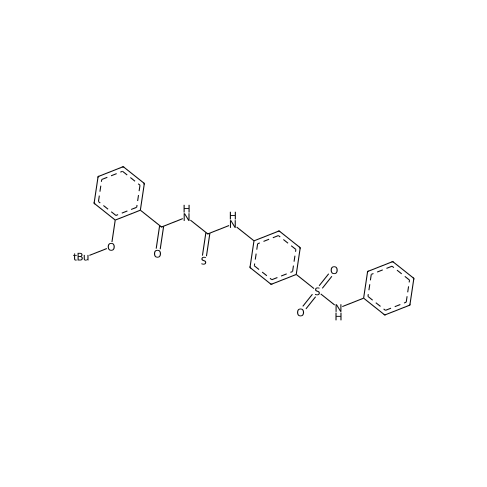 CC(C)(C)Oc1ccccc1C(=O)NC(=S)Nc1ccc(S(=O)(=O)Nc2ccccc2)cc1